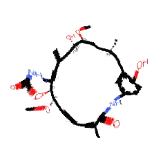 CO[C@H]1/C=C\C=C(/C)C(=O)Nc2ccc(O)c(c2)C[C@@H](C)C[C@H](OC)[C@@H](O)C(C)/C=C(\C)[C@@H]1OC(N)=O